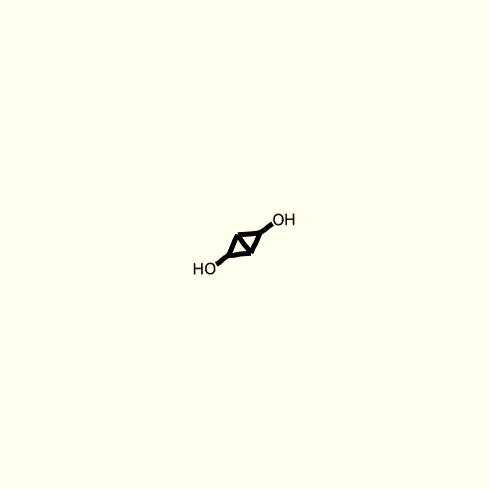 OC1C2C(O)C12